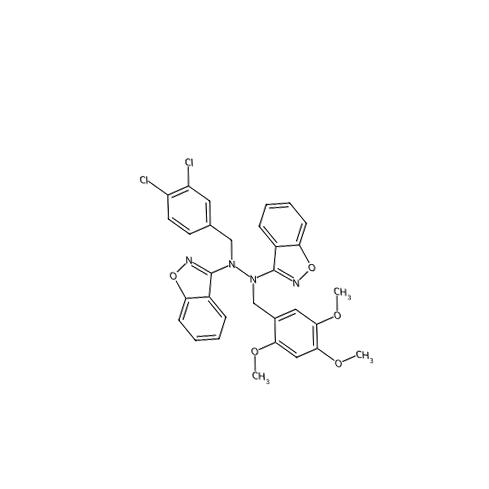 COc1cc(OC)c(OC)cc1CN(c1noc2ccccc12)N(Cc1ccc(Cl)c(Cl)c1)c1noc2ccccc12